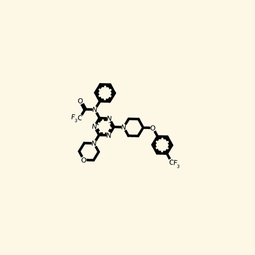 O=C(N(c1ccccc1)c1nc(N2CCOCC2)nc(N2CCC(Oc3ccc(C(F)(F)F)cc3)CC2)n1)C(F)(F)F